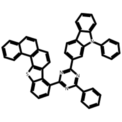 c1ccc(-c2nc(-c3ccc4c5ccccc5n(-c5ccccc5)c4c3)nc(-c3cccc4sc5c(ccc6ccc7ccccc7c65)c34)n2)cc1